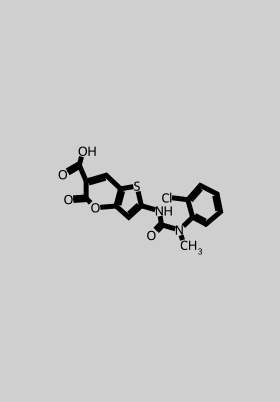 CN(C(=O)Nc1cc2oc(=O)c(C(=O)O)cc2s1)c1ccccc1Cl